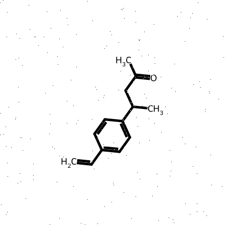 C=Cc1ccc(C(C)CC(C)=O)cc1